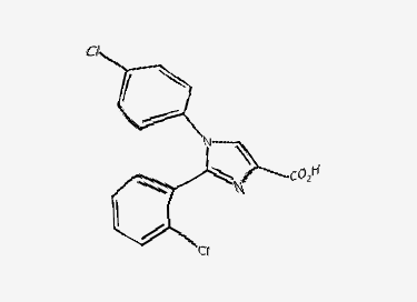 O=C(O)c1cn(-c2ccc(Cl)cc2)c(-c2ccccc2Cl)n1